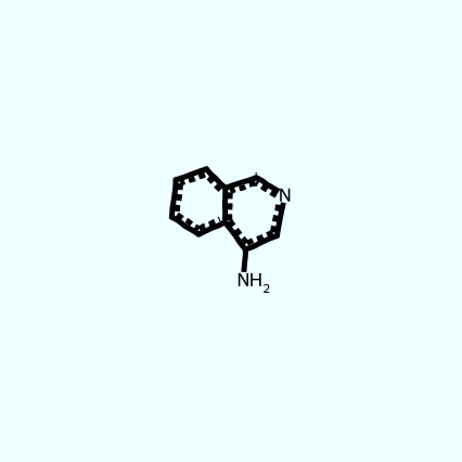 Nc1cn[c]c2ccccc12